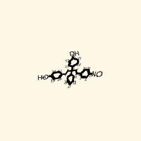 O=Nc1ccc(CCC(CCc2ccc(O)cc2)(C2=CCC(O)C=C2)c2ccccc2)cc1